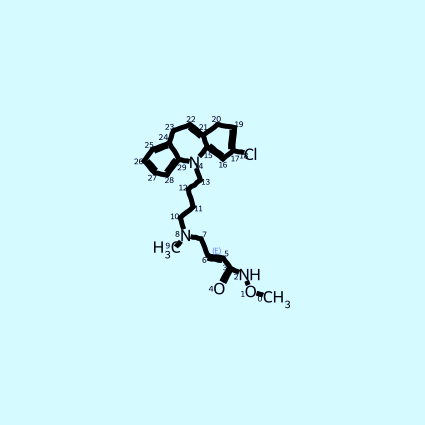 CONC(=O)/C=C/CN(C)CCCCN1C2=CC(Cl)=CCC2=CCc2ccccc21